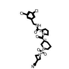 N#CC1CN(S(=O)(=O)N2CCC[C@H](C(=O)N3CCC[C@@H]3C(=O)NCc3cc(Cl)cc(Cl)c3)C2)C1